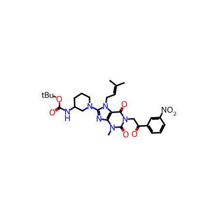 CC(C)=CCn1c(N2CCCC(NC(=O)OC(C)(C)C)C2)nc2c1c(=O)n(CC(=O)c1cccc([N+](=O)[O-])c1)c(=O)n2C